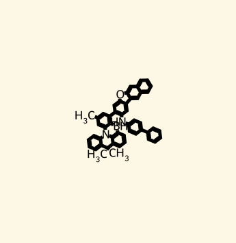 Cc1cc(-c2cc3oc4cc5ccccc5cc4c3cc2Nc2ccc(-c3ccccc3)cc2)c2c(c1)N1c3ccccc3C(C)(C)c3cccc(c31)B2